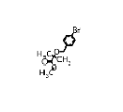 COC(=O)C(C)(C)OCc1ccc(Br)cc1